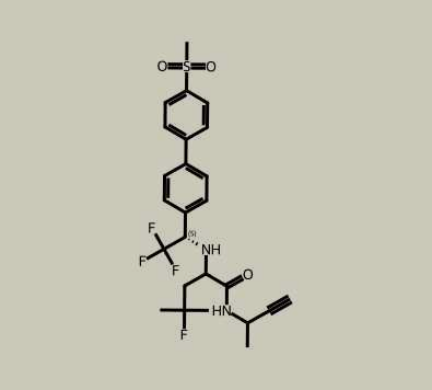 C#CC(C)NC(=O)C(CC(C)(C)F)N[C@@H](c1ccc(-c2ccc(S(C)(=O)=O)cc2)cc1)C(F)(F)F